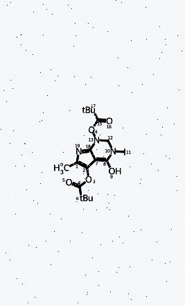 CC1=C(OC(=O)C(C)(C)C)C2=C(O)N(I)CN(OC(=O)C(C)(C)C)C2=N1